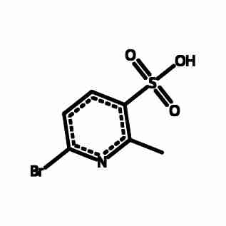 Cc1nc(Br)ccc1S(=O)(=O)O